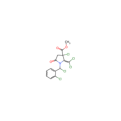 COC(=O)C1(Cl)CC(=O)N(C(Cl)c2ccccc2Cl)C1=C(Cl)Cl